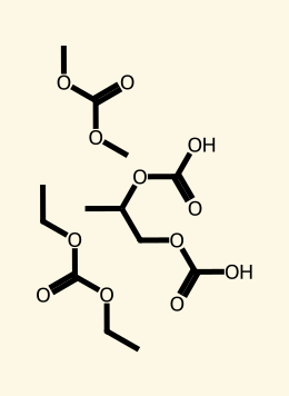 CC(COC(=O)O)OC(=O)O.CCOC(=O)OCC.COC(=O)OC